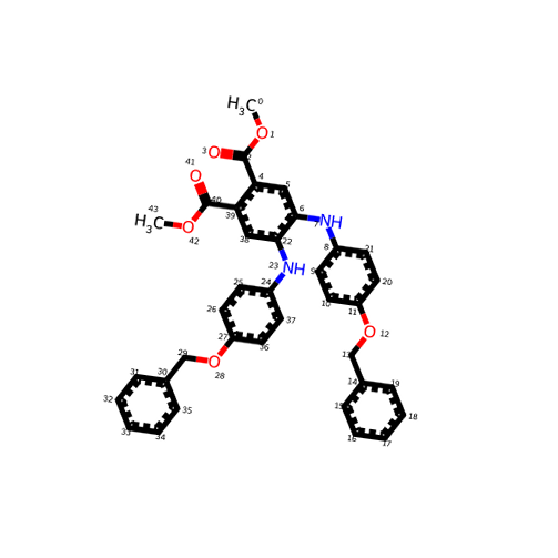 COC(=O)c1cc(Nc2ccc(OCc3ccccc3)cc2)c(Nc2ccc(OCc3ccccc3)cc2)cc1C(=O)OC